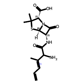 C=C/C=C(\C)C(N)C(=O)N[C@H]1C(=O)N2[C@@H]1SC(C)(C)[C@@H]2C(=O)O